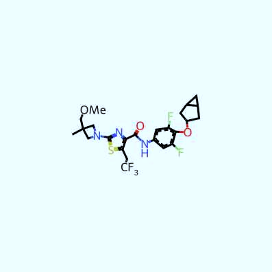 COCC1(C)CN(c2nc(C(=O)Nc3cc(F)c(OC4CC5CC5C4)c(F)c3)c(CC(F)(F)F)s2)C1